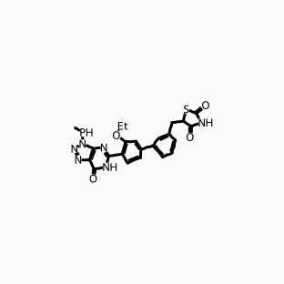 CCOc1cc(-c2cccc(CC3SC(=O)NC3=O)c2)ccc1-c1nc2c(nnn2PC)c(=O)[nH]1